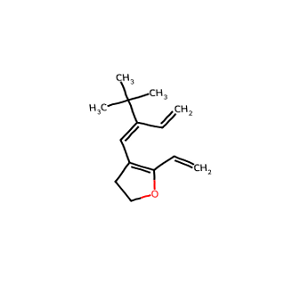 C=CC1=C(/C=C(\C=C)C(C)(C)C)CCO1